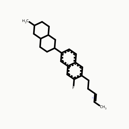 C/C=C/CCc1cc2ccc(C3CCC4CC(C)CCC4C3)cc2cc1F